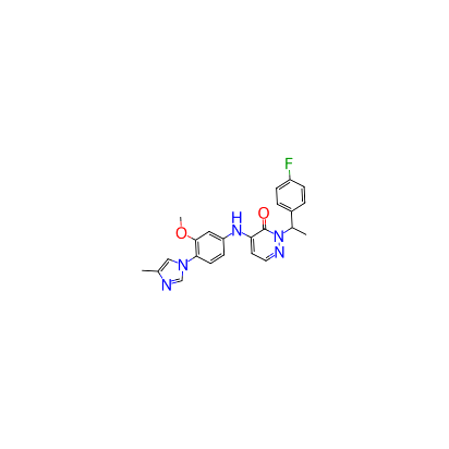 COc1cc(Nc2ccnn(C(C)c3ccc(F)cc3)c2=O)ccc1-n1cnc(C)c1